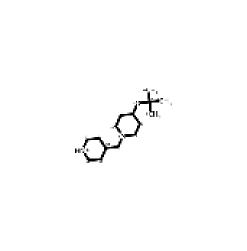 CC(C)(C)OC1CCN(CC2CCNCC2)CC1